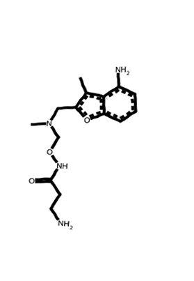 Cc1c(CN(C)CONC(=O)CCN)oc2cccc(N)c12